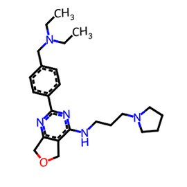 CCN(CC)Cc1ccc(-c2nc3c(c(NCCCN4CCCC4)n2)COC3)cc1